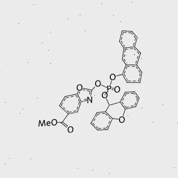 COC(=O)c1ccc2oc(OP(=O)(Oc3cccc4cc5ccccc5cc34)OC3c4ccccc4Oc4ccccc43)nc2c1